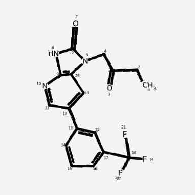 CCC(=O)Cn1c(=O)[nH]c2ncc(-c3cccc(C(F)(F)F)c3)cc21